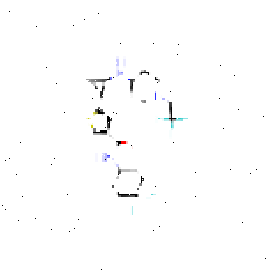 O=C(NC1CCC(F)(F)CC1)c1csc(C2CC2NC2CCN(CC(F)(F)F)CC2)c1